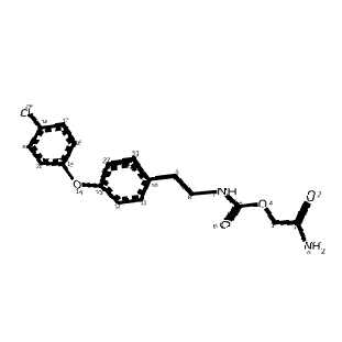 NC(=O)COC(=O)NCCc1ccc(Oc2ccc(Cl)cc2)cc1